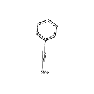 CSC#Cc1ccccc1